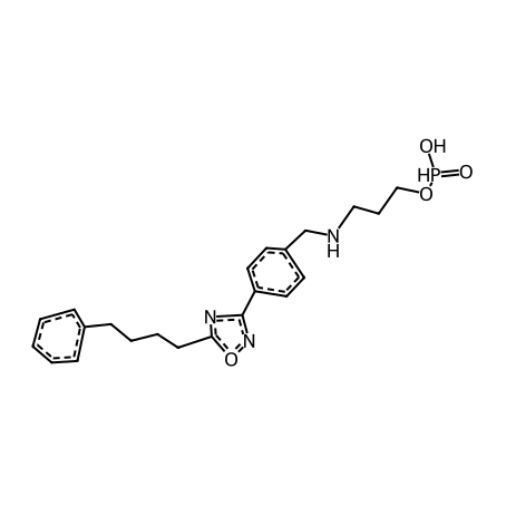 O=[PH](O)OCCCNCc1ccc(-c2noc(CCCCc3ccccc3)n2)cc1